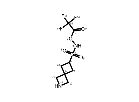 O=C(ONS(=O)(=O)C1CC2(CNC2)C1)C(F)(F)F